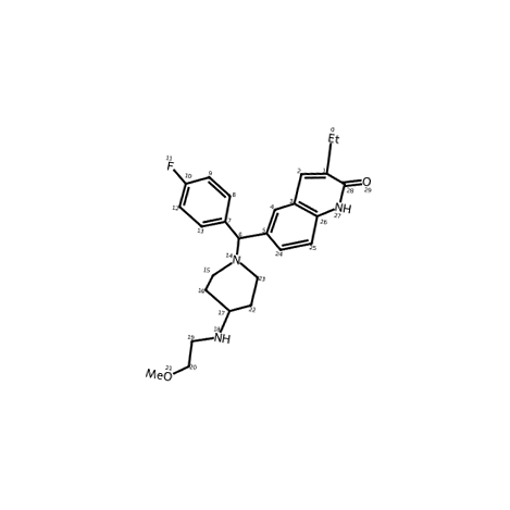 CCc1cc2cc(C(c3ccc(F)cc3)N3CCC(NCCOC)CC3)ccc2[nH]c1=O